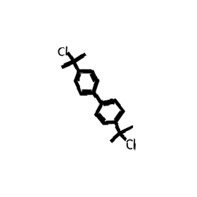 CC(C)(Cl)c1ccc(-c2ccc(C(C)(C)Cl)cc2)cc1